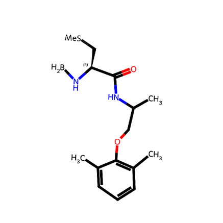 BN[C@@H](CSC)C(=O)NC(C)COc1c(C)cccc1C